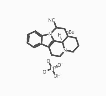 CCCC[C@@]12CCCN3CCc4c(n(c5ccccc45)C(C#N)C1)[C@H]32.[O-][Cl+3]([O-])([O-])O